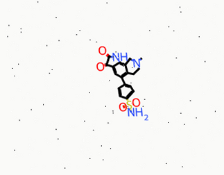 CN1CCc2c(-c3ccc(S(N)(=O)=O)cc3)cc3c(c2C1)NC(=O)C3=O